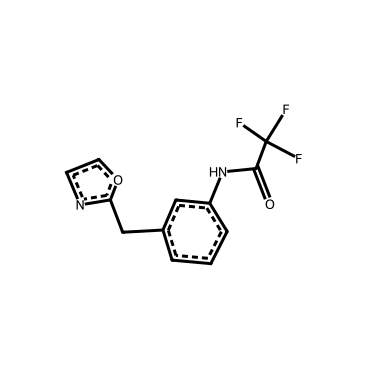 O=C(Nc1cccc(Cc2ncco2)c1)C(F)(F)F